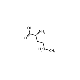 C[SiH2]CC[C@H](N)C(=O)O